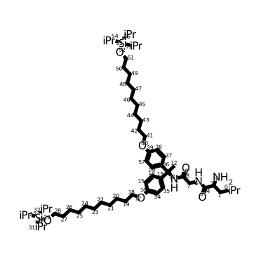 CC(C)CC(N)C(=O)NCC(=O)NC(C)(c1ccc(OCCCCCCCCCCCO[Si](C(C)C)(C(C)C)C(C)C)cc1)c1ccc(OCCCCCCCCCCCO[Si](C(C)C)(C(C)C)C(C)C)cc1